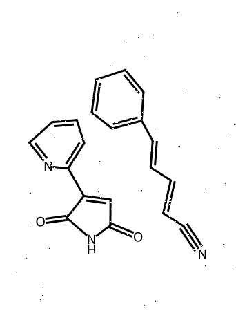 N#CC=CC=Cc1ccccc1.O=C1C=C(c2ccccn2)C(=O)N1